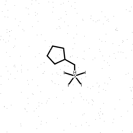 I[SH](I)(I)(I)CC1CCCC1